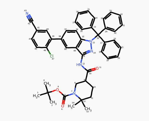 CC(C)(C)OC(=O)N1CC(C(=O)Nc2nn(C(c3ccccc3)(c3ccccc3)c3ccccc3)c3ccc(-c4cc(C#N)ccc4Cl)cc23)CCC1(C)C